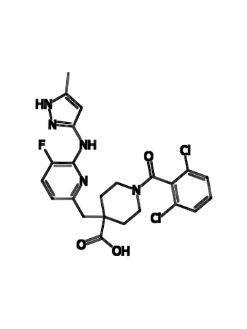 Cc1cc(Nc2nc(CC3(C(=O)O)CCN(C(=O)c4c(Cl)cccc4Cl)CC3)ccc2F)n[nH]1